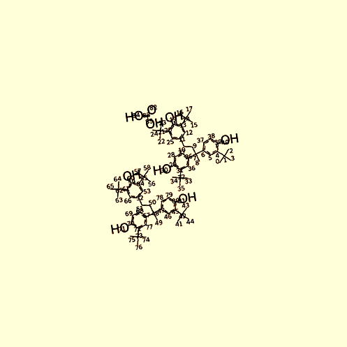 CC(C)(C)c1cc(C(C)(CCc2cc(C(C)(C)C)c(O)c(C(C)(C)C)c2)c2ccc(O)c(C(C)(C)C)c2)ccc1O.CC(C)(C)c1cc(C(C)(CCc2cc(C(C)(C)C)c(O)c(C(C)(C)C)c2)c2ccc(O)c(C(C)(C)C)c2)ccc1O.O=C(O)O